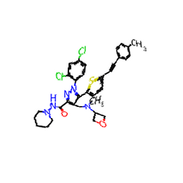 Cc1ccc(C#Cc2ccc(-c3c(CN(C)C4COC4)c(C(=O)NN4CCCCC4)nn3-c3ccc(Cl)cc3Cl)s2)cc1